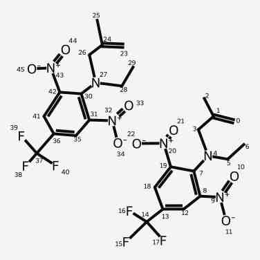 C=C(C)CN(CC)c1c([N+](=O)[O-])cc(C(F)(F)F)cc1[N+](=O)[O-].C=C(C)CN(CC)c1c([N+](=O)[O-])cc(C(F)(F)F)cc1[N+](=O)[O-]